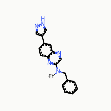 [CH2][CH]N(Cc1ccccc1)c1cnc2cc(-c3cn[nH]c3)ccc2n1